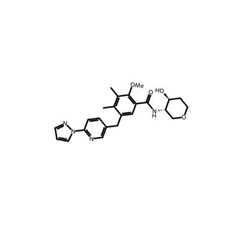 COc1c(C(=O)N[C@H]2COCC[C@@H]2O)cc(Cc2ccc(-n3cccn3)nc2)c(C)c1C